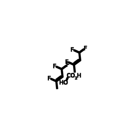 CC(F)=CC(F)F.CC(F)=CC(F)F.O=C(O)O